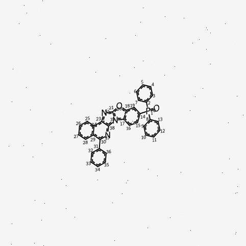 O=P(c1ccccc1)(c1ccccc1)c1ccc2c(c1)oc1nc3c4ccccc4c(-c4ccccc4)nc3n12